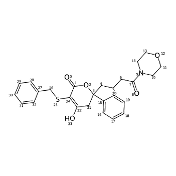 O=C1OC(CCCC(=O)N2CCOCC2)(c2ccccc2)CC(O)=C1SCc1ccccc1